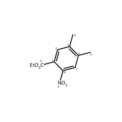 CCOC(=O)c1cc(C)c(C)cc1[N+](=O)[O-]